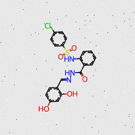 O=C(NN=Cc1ccc(O)cc1O)c1ccccc1NS(=O)(=O)c1ccc(Cl)cc1